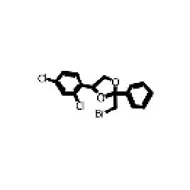 Clc1ccc(C2COC(CBr)(c3ccccc3)O2)c(Cl)c1